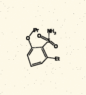 CCc1cccc(OC(C)C)c1S(N)(=O)=O